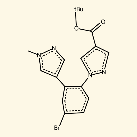 Cn1cc(-c2cc(Br)ccc2-n2cc(C(=O)OC(C)(C)C)cn2)cn1